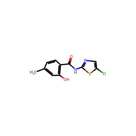 Cc1ccc(C(=O)Nc2ncc(Cl)s2)c(O)c1